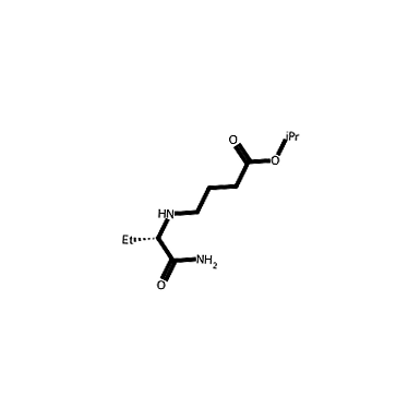 CC[C@H](NCCCC(=O)OC(C)C)C(N)=O